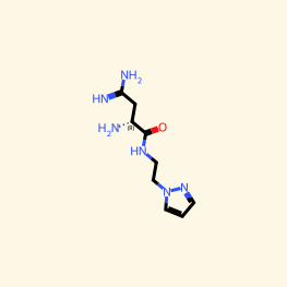 N=C(N)C[C@@H](N)C(=O)NCCn1cccn1